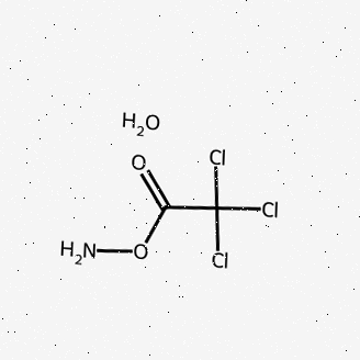 NOC(=O)C(Cl)(Cl)Cl.O